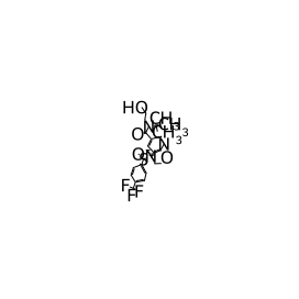 CC(C)(C)N(CCO)C(=O)c1cnc2c(c1)N([S+]([O-])c1ccc(C(F)(F)F)cc1)CCO2